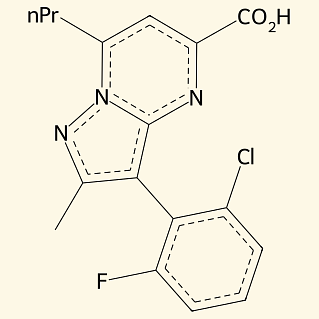 CCCc1cc(C(=O)O)nc2c(-c3c(F)cccc3Cl)c(C)nn12